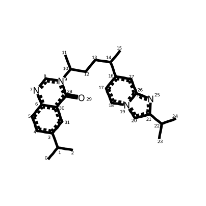 CC(C)c1ccc2ncn(C(C)CCC(C)c3ccn4cc(C(C)C)nc4c3)c(=O)c2c1